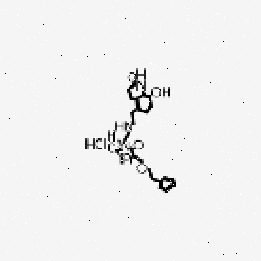 CC(C)[C@@H](C)N(CCNCCc1ccc(O)c2[nH]c(=O)ccc12)C(=O)CCOCCc1ccccc1.Cl